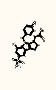 CS(=O)(=O)c1cc(Br)c2c(c1)c1c(n2Cc2ccc(Cl)cc2)C(CC(=O)O)CC1